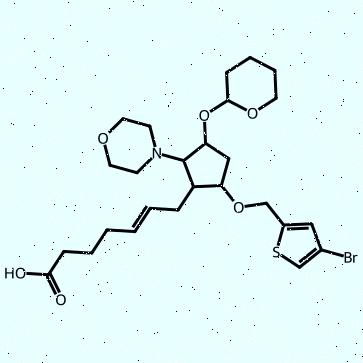 O=C(O)CCCC=CCC1C(OCc2cc(Br)cs2)CC(OC2CCCCO2)C1N1CCOCC1